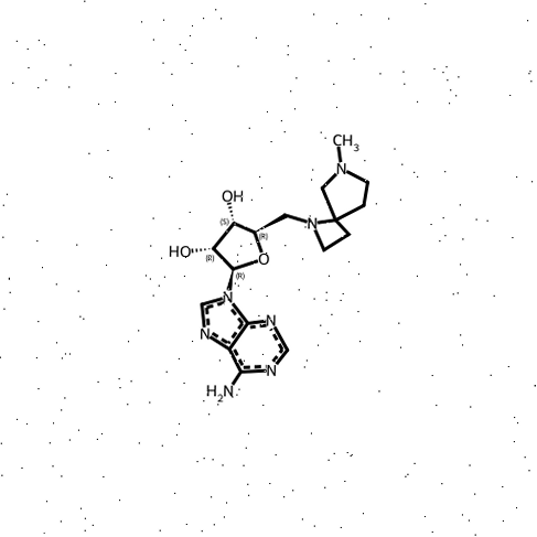 CN1CCC2(CCN2C[C@H]2O[C@@H](n3cnc4c(N)ncnc43)[C@H](O)[C@@H]2O)C1